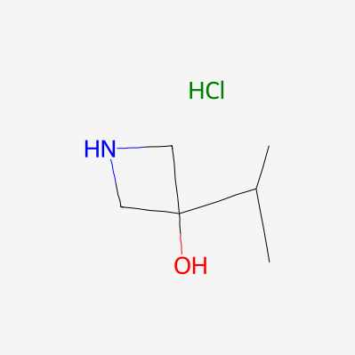 CC(C)C1(O)CNC1.Cl